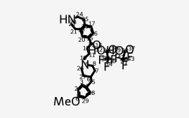 COc1ccc(CC2CCN(CCCC(=O)c3ccc4c(c3)CCNCC4)CC2)cc1.O=C(O)C(F)(F)F.O=C(O)C(F)(F)F